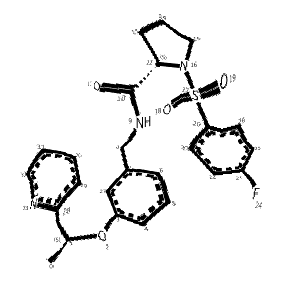 C[C@H](Oc1cccc(CNC(=O)[C@@H]2CCCN2S(=O)(=O)c2ccc(F)cc2)c1)c1ccccn1